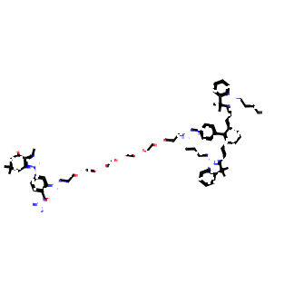 Cc1nn(-c2ccc(C(=O)N(C)C)c(NCCCOCCOCCOCCOCCOCCCNCc3ccc(C4=C(/C=C/C5=[N+](CCCCS(=O)(=O)O)c6ccccc6C5(C)C)CCC/C4=C\C=C4\N(CCCCS(=O)(=O)O)c5ccccc5C4(C)C)cc3)c2)c2c1C(=O)CC(C)(C)C2